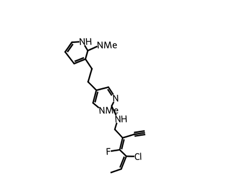 C#C/C(CNC/N=C\C(=C/NC)CCC1=CC=CNC1NC)=C(F)\C(Cl)=C/C